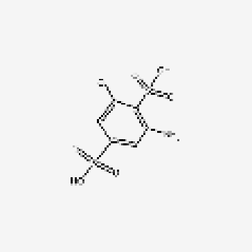 Nc1cc(S(=O)(=O)O)cc(Cl)c1S(=O)(=O)O